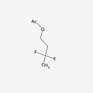 CC(=O)OCCC(C)(F)F